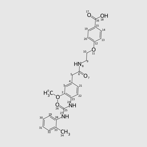 COc1cc(CC(=O)NCCOc2ccc(C(=O)O)cc2)ccc1NC(=O)Nc1ccccc1C